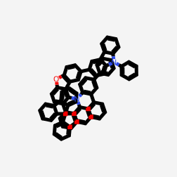 c1ccc(-c2ccc(N(c3cccc4c3C3(c5ccccc5-c5ccccc53)c3ccccc3-4)c3c(-c4ccccc4)ccc4oc5ccc(-c6ccc7c(c6)c6ccccc6n7-c6ccccc6)cc5c34)c(-c3ccccc3)c2)cc1